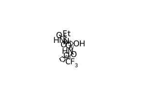 CCc1cn([C@@H]2CC(O)[C@H](CNC(=O)[C@H](C)Oc3ccccc3C(F)(F)F)O2)c(=O)[nH]c1=O